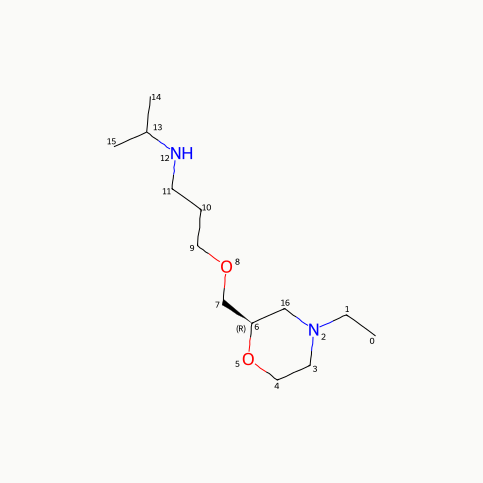 CCN1CCO[C@@H](COCCCNC(C)C)C1